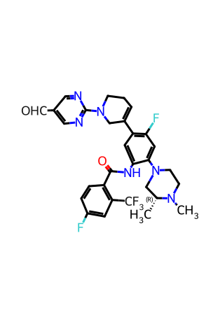 C[C@@H]1CN(c2cc(F)c(C3=CCCN(c4ncc(C=O)cn4)C3)cc2NC(=O)c2ccc(F)cc2C(F)(F)F)CCN1C